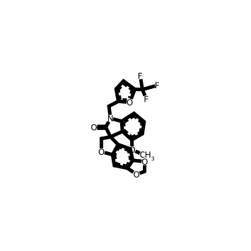 COc1cccc2c1C1(COc3cc4c(cc31)OCO4)C(=O)N2Cc1ccc(C(F)(F)F)o1